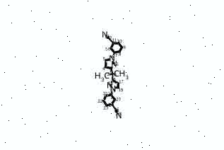 CC(C)(c1ccn(-c2cccc(C#N)c2)n1)c1ccn(-c2cccc(C#N)c2)n1